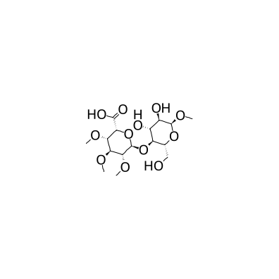 CO[C@H]1O[C@H](CO)[C@@H](O[C@@H]2O[C@@H](C(=O)O)[C@@H](OC)[C@H](OC)[C@H]2OC)[C@H](O)[C@H]1O